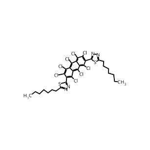 CCCCCCCc1nnc(-c2c(Cl)c(Cl)c3c(Cl)c4c(Cl)c(Cl)c(-c5nnc(CCCCCCC)s5)c(Cl)c4c(Cl)c3c2Cl)s1